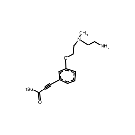 CN(CCN)CCOc1cccc(C#CC(=O)C(C)(C)C)c1